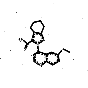 COc1ccc2nccc(-n3nc4c(c3C(N)=O)C[C]CC4)c2c1